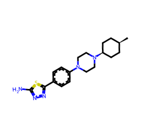 C[C@H]1CC[C@@H](N2CCN(c3ccc(-c4nnc(N)s4)cc3)CC2)CC1